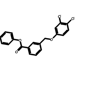 O=C(Oc1ccccc1)c1cccc(COc2ccc(Cl)c(Cl)c2)c1